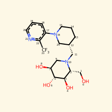 OC[C@@H]1[C@@H](O)[C@H](O)[C@@H](O)CN1C[C@H]1CCCN(c2cccnc2C(F)(F)F)C1